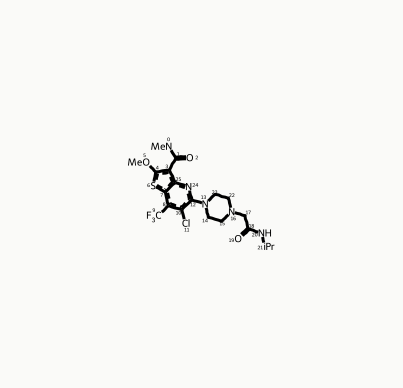 CNC(=O)c1c(OC)sc2c(C(F)(F)F)c(Cl)c(N3CCN(CC(=O)NC(C)C)CC3)nc12